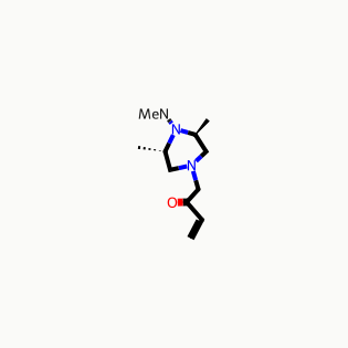 C=CC(=O)CN1C[C@H](C)N(NC)[C@@H](C)C1